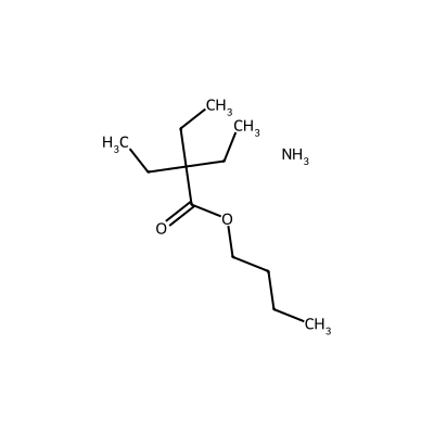 CCCCOC(=O)C(CC)(CC)CC.N